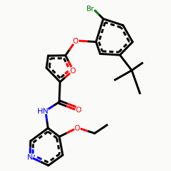 CCOc1ccncc1NC(=O)c1ccc(Oc2cc(C(C)(C)C)ccc2Br)o1